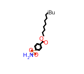 CCC(C)CCCCCCCCOC(=O)c1ccc(S(N)(=O)=O)cc1